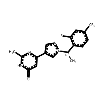 Cc1nc(-c2cnn([C@@H](C)c3ccc(C(F)(F)F)cc3F)c2)cc(=O)[nH]1